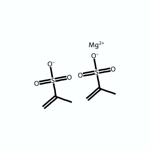 C=C(C)S(=O)(=O)[O-].C=C(C)S(=O)(=O)[O-].[Mg+2]